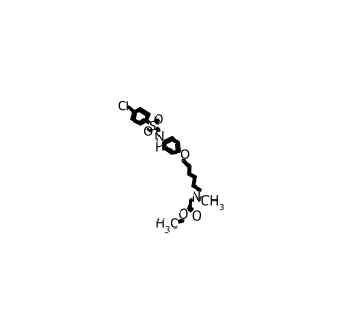 CCOC(=O)CN(C)CCCCCCOc1ccc(NCS(=O)(=O)c2ccc(Cl)cc2)cc1